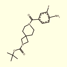 CC(C)(C)OC(=O)N1CC2(CCN(C(=O)c3ccc(N)c(F)c3)CC2)C1